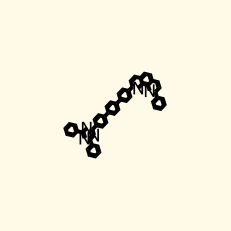 c1ccc(-c2ccc3ccc4ccc(-c5ccc(-c6ccc(-c7ccc(-c8nc(-c9ccccc9)nc(-c9ccccc9)n8)cc7)cc6)cc5)nc4c3n2)cc1